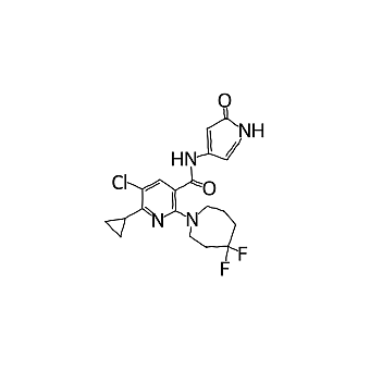 O=C(Nc1cc[nH]c(=O)c1)c1cc(Cl)c(C2CC2)nc1N1CCCC(F)(F)CC1